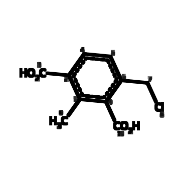 Cc1c(C(=O)O)ccc(CCl)c1C(=O)O